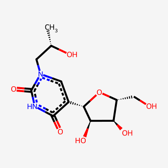 C[C@H](O)Cn1cc([C@@H]2O[C@H](CO)[C@@H](O)[C@H]2O)c(=O)[nH]c1=O